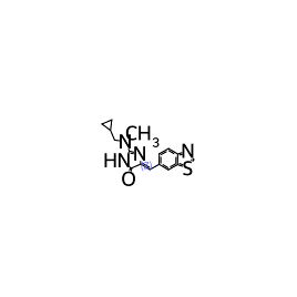 CN(CC1CC1)C1=N/C(=C\c2ccc3ncsc3c2)C(=O)N1